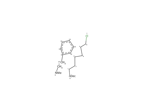 CCCCCCCCCCCCCCCCCl.CNC.Cc1ccccc1